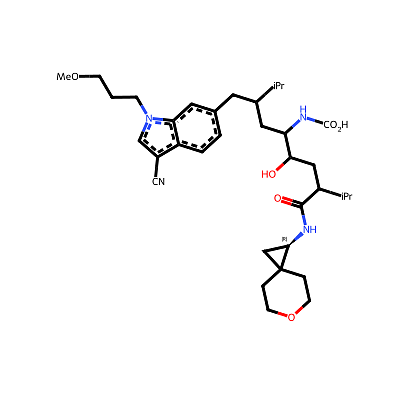 COCCCn1cc(C#N)c2ccc(CC(CC(NC(=O)O)C(O)CC(C(=O)N[C@@H]3CC34CCOCC4)C(C)C)C(C)C)cc21